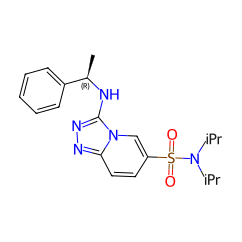 CC(C)N(C(C)C)S(=O)(=O)c1ccc2nnc(N[C@H](C)c3ccccc3)n2c1